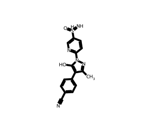 Cc1nn(-c2ccc([SH](=N)=O)cn2)c(O)c1-c1ccc(C#N)cc1